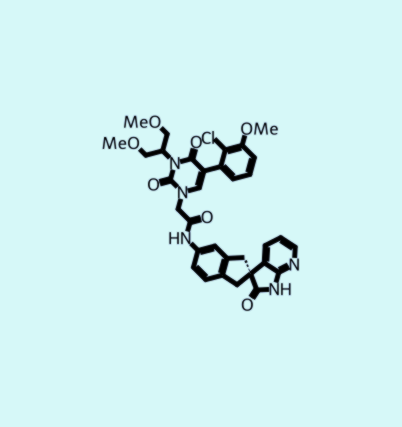 COCC(COC)n1c(=O)c(-c2cccc(OC)c2Cl)cn(CC(=O)Nc2ccc3c(c2)C[C@@]2(C3)C(=O)Nc3ncccc32)c1=O